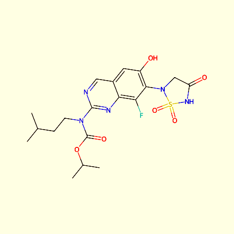 CC(C)CCN(C(=O)OC(C)C)c1ncc2cc(O)c(N3CC(=O)NS3(=O)=O)c(F)c2n1